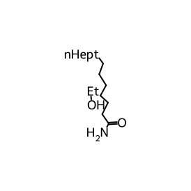 CCCCCCCCCCCCCC(N)=O.CCO